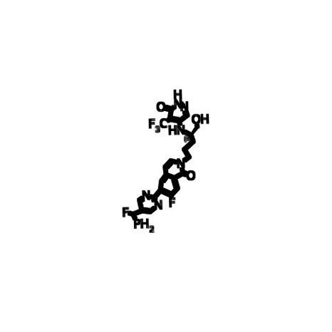 O=c1[nH]ncc(N[C@@H](CO)CCCn2ccc3cc(-c4ncc(C(F)P)cn4)c(F)cc3c2=O)c1C(F)(F)F